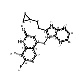 O=c1cc(Cn2c(CCC3CC3)nc3nccnc32)c2ccc(F)c(F)c2[nH]1